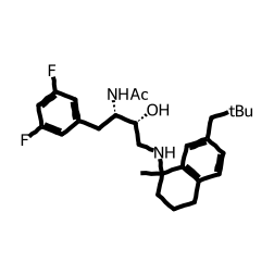 CC(=O)N[C@@H](Cc1cc(F)cc(F)c1)[C@H](O)CNC1(C)CCCc2ccc(CC(C)(C)C)cc21